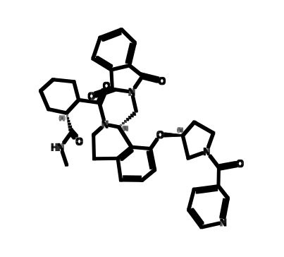 CNC(=O)[C@@H]1CCCCC1C(=O)N1CCc2cccc(O[C@H]3CCN(C(=O)c4cccnc4)C3)c2[C@H]1CN1C(=O)c2ccccc2C1=O